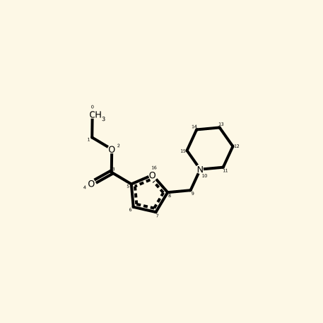 CCOC(=O)c1ccc(CN2CCCCC2)o1